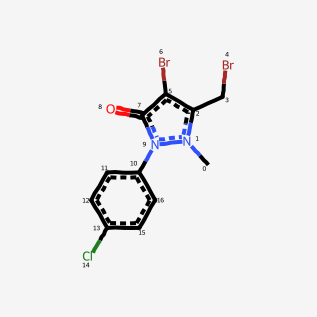 Cn1c(CBr)c(Br)c(=O)n1-c1ccc(Cl)cc1